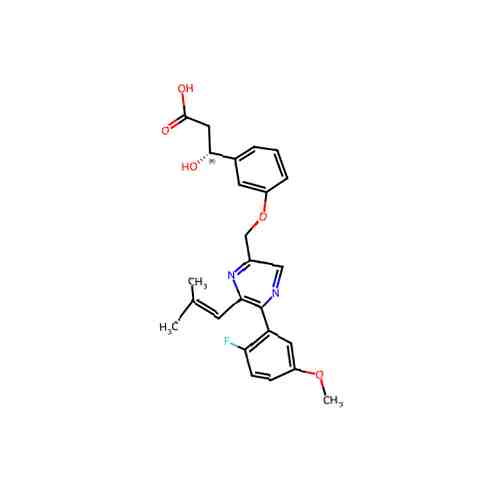 COc1ccc(F)c(-c2ncc(COc3cccc([C@H](O)CC(=O)O)c3)nc2C=C(C)C)c1